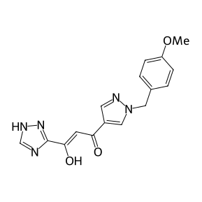 COc1ccc(Cn2cc(C(=O)C=C(O)c3nc[nH]n3)cn2)cc1